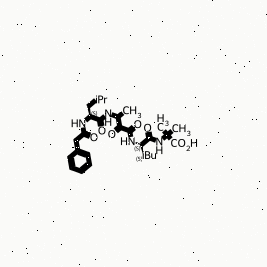 CC[C@H](C)[C@H](NC(=O)C(=O)C(C)NC(=O)[C@H](CC(C)C)NC(=O)Cc1ccccc1)C(=O)NC(C)(C)C(=O)O